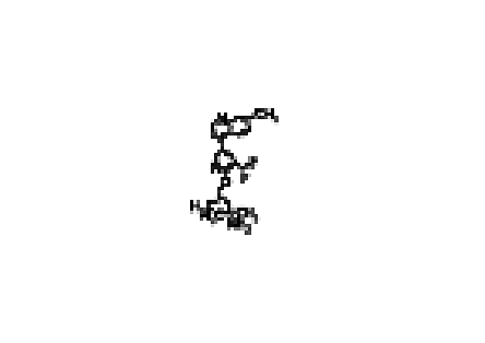 Cc1ccc2c(-c3cnc(OCC(C)CC(C)(C)N)c(C(F)F)c3)ccnc2c1